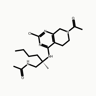 CCCC[C@](C)(CNC(C)=O)Nc1nc(Cl)nc2c1CCN(C(C)=O)C2